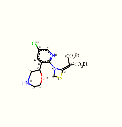 CCOC(=O)C(C(=O)OCC)=C1SCN1c1ncc(Cl)cc1C1CNCCO1